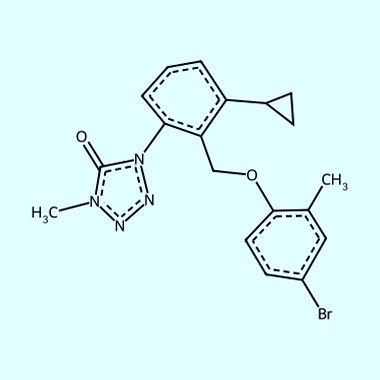 Cc1cc(Br)ccc1OCc1c(C2CC2)cccc1-n1nnn(C)c1=O